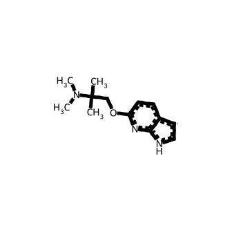 CN(C)C(C)(C)COc1ccc2[c]c[nH]c2n1